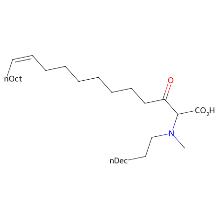 CCCCCCCC/C=C\CCCCCCCC(=O)C(C(=O)O)N(C)CCCCCCCCCCCC